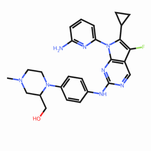 CN1CCN(c2ccc(Nc3ncc4c(F)c(C5CC5)n(-c5cccc(N)n5)c4n3)cc2)C(CO)C1